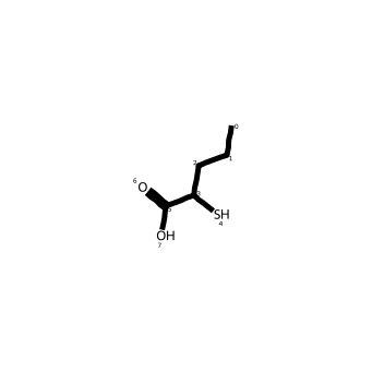 CCCC(S)C(=O)O